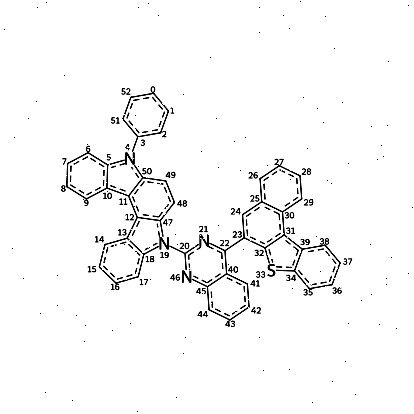 c1ccc(-n2c3ccccc3c3c4c5ccccc5n(-c5nc(-c6cc7ccccc7c7c6sc6ccccc67)c6ccccc6n5)c4ccc32)cc1